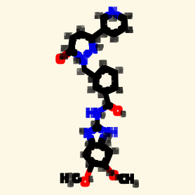 COc1cc2nc(NC(=O)c3cccc(Cn4nc(-c5cccnc5)ccc4=O)c3)[nH]c2cc1OC